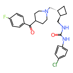 O=C(NC[C@@H]1CC[C@H]1CN1CCC(C(=O)c2ccc(F)cc2)CC1)Nc1ccc(Cl)cc1